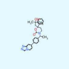 C[C@@H](c1ccc(-c2ccn3cnnc3c2)cc1)N1CCC(CC(C)(C)O)(c2ccccc2)OC1=O